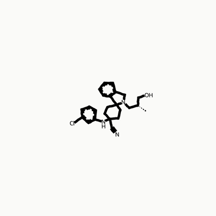 C[C@@H](CO)CN1Cc2ccccc2C12CCC(C#N)(Nc1cccc(Cl)c1)CC2